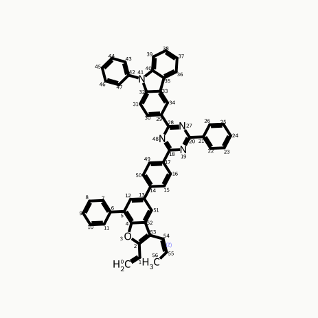 C=Cc1oc2c(-c3ccccc3)cc(-c3ccc(-c4nc(-c5ccccc5)nc(-c5ccc6c(c5)c5ccccc5n6-c5ccccc5)n4)cc3)cc2c1/C=C\C